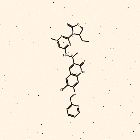 CCC1COC(=O)N1c1nc(C)nc(N[C@@H](C)c2cc3cc(Cl)c(OCc4ccccn4)cc3[nH]c2=O)n1